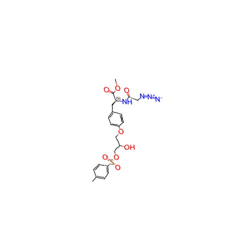 COC(=O)[C@H](Cc1ccc(OCC(O)COS(=O)(=O)c2ccc(C)cc2)cc1)NC(=O)CN=[N+]=[N-]